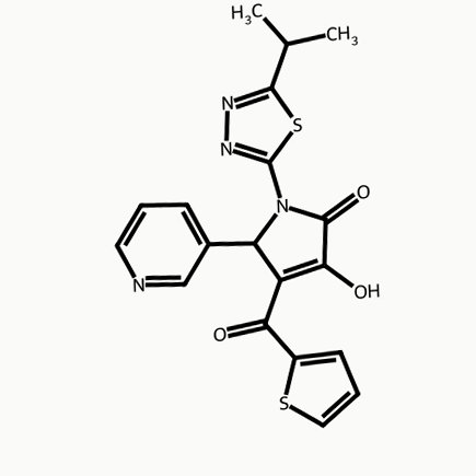 CC(C)c1nnc(N2C(=O)C(O)=C(C(=O)c3cccs3)C2c2cccnc2)s1